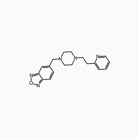 c1ccc(CCN2CCN(Cc3ccc4nonc4c3)CC2)nc1